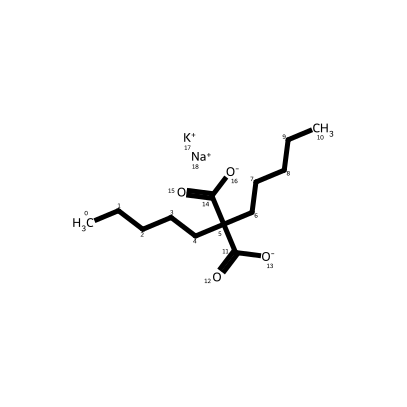 CCCCCC(CCCCC)(C(=O)[O-])C(=O)[O-].[K+].[Na+]